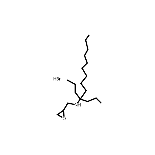 Br.CCCCCCCCCC(CCC)(CCC)NCC1CO1